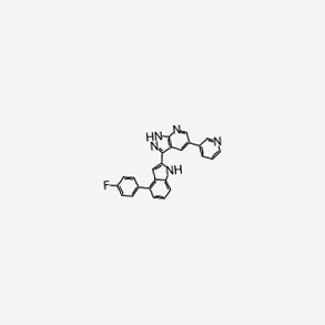 Fc1ccc(-c2cccc3[nH]c(-c4n[nH]c5ncc(-c6cccnc6)cc45)cc23)cc1